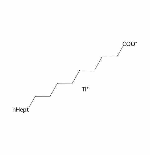 CCCCCCCCCCCCCCCC(=O)[O-].[Tl+]